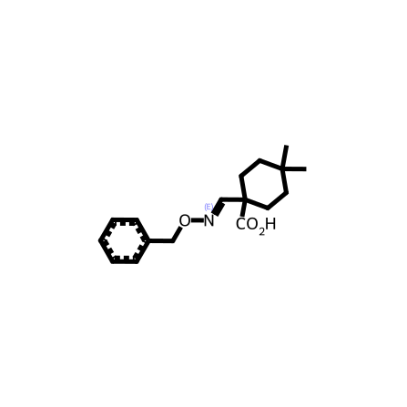 CC1(C)CCC(/C=N/OCc2ccccc2)(C(=O)O)CC1